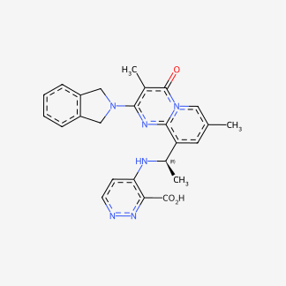 Cc1cc([C@@H](C)Nc2ccnnc2C(=O)O)c2nc(N3Cc4ccccc4C3)c(C)c(=O)n2c1